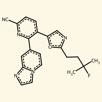 CC(C)(F)CCc1ncc(-c2ccc(C#N)nc2-c2ccn3ccnc3c2)o1